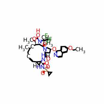 CCOc1ccc2c(O[C@@H]3C[C@H]4C(=O)N[C@]5(C(=O)NS(=O)(=O)C6CC6)C[C@H]5/C=C\CC[C@@H](C)C[C@@H](CC)[C@H](N(C(=O)O)C(C)(C)C(F)(F)F)C(=O)N4C3)nccc2c1